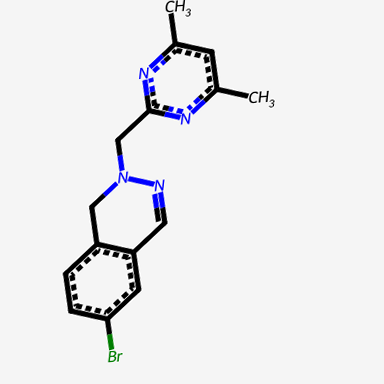 Cc1cc(C)nc(CN2Cc3ccc(Br)cc3C=N2)n1